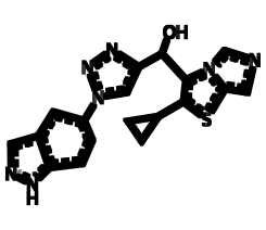 OC(c1cn(-c2ccc3[nH]ncc3c2)nn1)c1c(C2CC2)sc2cncn12